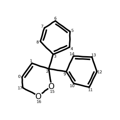 C1=CC(c2ccccc2)(c2ccccc2)OOC1